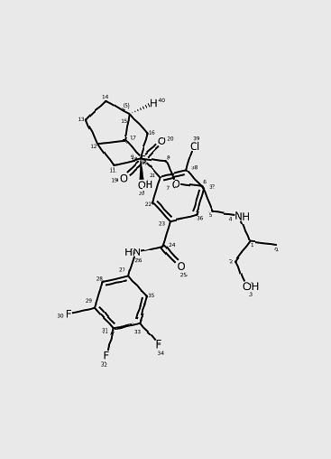 CC(CO)NCCOC[C@]1(O)CC2CC[C@@H](C1)C2S(=O)(=O)c1cc(C(=O)Nc2cc(F)c(F)c(F)c2)ccc1Cl